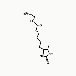 CCCCCCCCCCCNC(=O)CCCCCC1NC(=O)NC1C